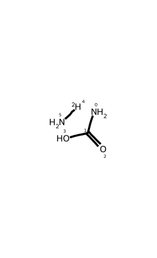 NC(=O)O.[2H]N